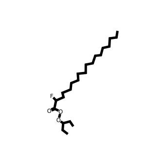 CCCCCCCCCCCCCCCCC(F)C(=O)OOC(CC)CC